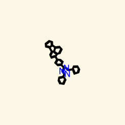 c1ccc(-c2nc(-c3ccccc3)nc(-c3ccc(-c4ccc5c6c(cccc46)-c4ccccc4-5)cc3)n2)cc1